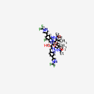 CCC(=O)NC(C(=O)N[C@@H](Cc1ccc(-c2cnn(C(F)F)c2)cc1)[C@@H](O)CN(Cc1c(F)cc(-c2cnn(C(F)F)c2)cc1F)NC(=O)[C@@H](NC(=O)CC)C(C)(C)C(F)(F)F)C(C)(C)C(F)(F)F